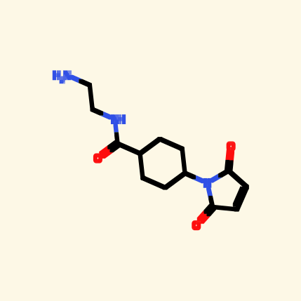 NCCNC(=O)C1CCC(N2C(=O)C=CC2=O)CC1